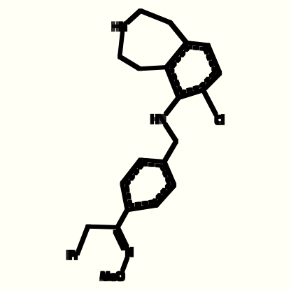 CON=C(CC(C)C)c1ccc(CNc2c(Cl)ccc3c2CCNCC3)cc1